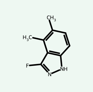 Cc1ccc2[nH]nc(F)c2c1C